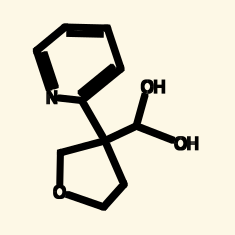 OC(O)C1(c2ccccn2)CCOC1